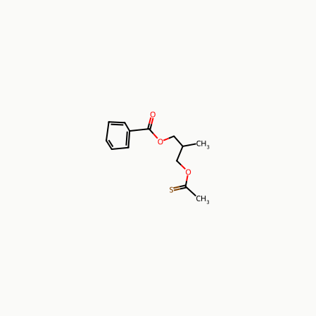 CC(=S)OCC(C)COC(=O)c1ccccc1